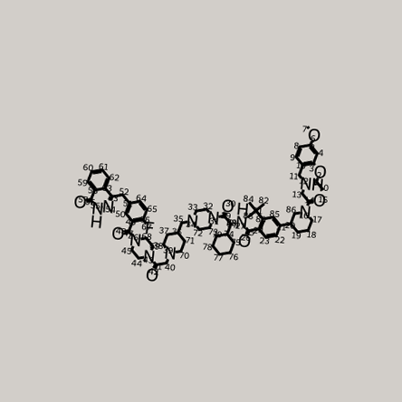 CCOc1cc(OC)ccc1CNCC(=O)N1CCCC(c2ccc(C(=O)N[C@@H](C(=O)N3CCN(CC4CCN(CC(=O)N5CCN(C(=O)c6cc(Cc7n[nH]c(=O)c8ccccc78)ccc6F)CC5)CC4)CC3)C3CCCCC3)c(C(C)(C)C)c2)C1